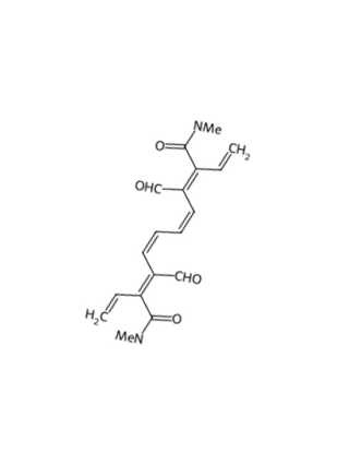 C=C\C(C(=O)NC)=C(C=O)/C=C\C=C/C(C=O)=C(\C=C)C(=O)NC